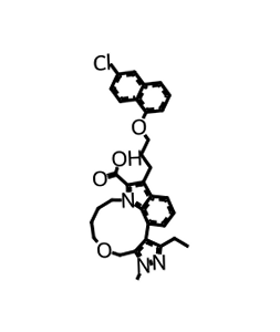 CCc1nn(C)c2c1-c1cccc3c(CCCOc4cccc5cc(Cl)ccc45)c(C(=O)O)n(c13)CCCCOC2